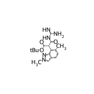 Cc1ccc2cn(C)nc2c1C(C(=O)NC(=N)N)C(=O)OC(C)(C)C